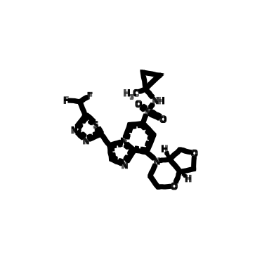 CC1(NS(=O)(=O)c2cc(N3CCO[C@@H]4COC[C@H]43)c3ncc(-c4nnc(C(F)F)s4)n3c2)CC1